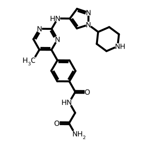 Cc1cnc(Nc2cnn(C3CCNCC3)c2)nc1-c1ccc(C(=O)NCC(N)=O)cc1